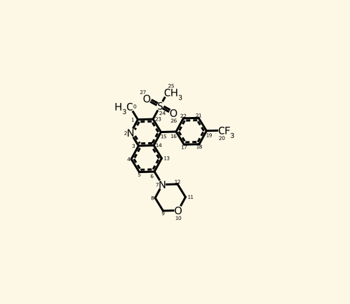 Cc1nc2ccc(N3CCOCC3)cc2c(-c2ccc(C(F)(F)F)cc2)c1S(C)(=O)=O